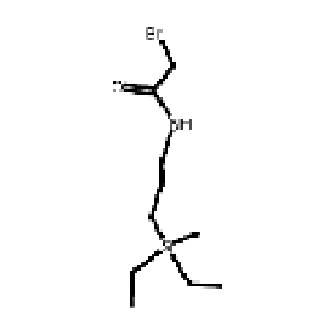 CC[Si](C)(CC)CCCNC(=O)CBr